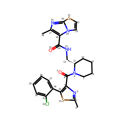 Cc1nc(C(=O)N2CCCC[C@H]2CNC(=O)c2c(C)nc3sccn23)c(-c2ccccc2Cl)s1